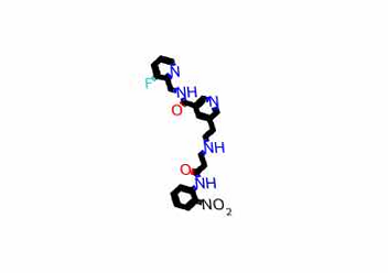 O=C(CCNCCc1cncc(C(=O)NCc2ncccc2F)c1)Nc1ccccc1[N+](=O)[O-]